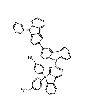 N#Cc1ccc(C2(c3ccc(C#N)cc3)c3ccccc3-c3ccc(-n4c5ccccc5c5cc(-c6ccc7c(c6)c6ccccc6n7-c6ccccc6)ccc54)cc32)cc1